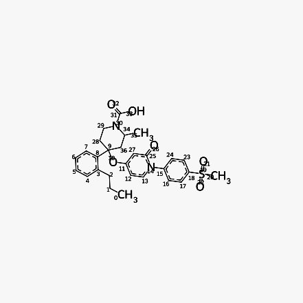 CCCc1ccccc1C1(Oc2ccn(-c3ccc(S(C)(=O)=O)cc3)c(=O)c2)CCN(C(=O)O)C(C)C1